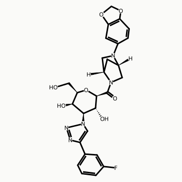 O=C([C@@H]1O[C@H](CO)[C@H](O)[C@H](n2cc(-c3cccc(F)c3)nn2)[C@H]1O)N1C[C@@H]2C[C@H]1CN2c1ccc2c(c1)OCO2